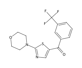 O=C(c1cccc(C(F)(F)F)c1)c1cnc(N2CCOCC2)s1